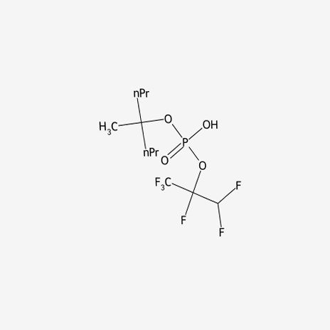 CCCC(C)(CCC)OP(=O)(O)OC(F)(C(F)F)C(F)(F)F